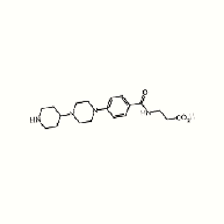 O=C(O)CCNC(=O)c1ccc(N2CCN(C3CCNCC3)CC2)cc1